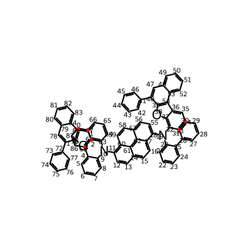 c1ccc(-c2ccccc2N(c2ccc3ccc4c(N(c5ccccc5-c5ccccc5)c5cccc6c5oc5c(-c7ccccc7)cc7ccccc7c56)ccc5ccc2c3c54)c2cccc3c2oc2c(-c4ccccc4)cc4ccccc4c23)cc1